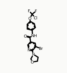 O=C(Nc1ccc(OC(F)(F)Cl)cc1)c1cnc(N2CCOC2)c(Br)c1